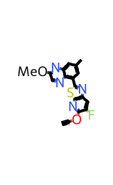 C#COc1nc2sc(-c3cc(C)cc4nc(OC)cnc34)nc2cc1F